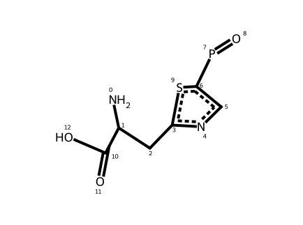 NC(Cc1ncc(P=O)s1)C(=O)O